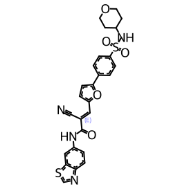 N#C/C(=C\c1ccc(-c2ccc(S(=O)(=O)NC3CCOCC3)cc2)o1)C(=O)Nc1ccc2ncsc2c1